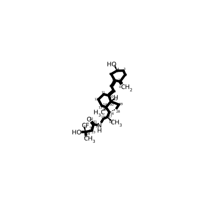 C=C1CC[C@H](O)C/C1=C/C=C1\CCC[C@]2(C)[C@@H]([C@@H](C)CNC(=O)C[C@](C)(O)C(F)(F)F)CC[C@@H]12